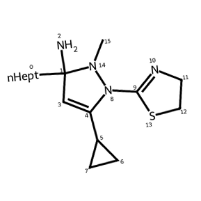 CCCCCCCC1(N)C=C(C2CC2)N(C2=NCCS2)N1C